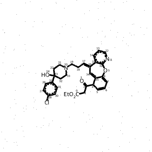 CCOC(=O)CC(=O)C1C=CC=C2Oc3ncccc3C(=CCCN3CCC(O)(c4ccc(Cl)cc4)CC3)C=C21